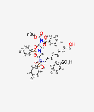 CCCCOC(=O)N(CCN(CCN(CCCCCCCCCO)S(=O)(=O)c1ccc(C)cc1)S(=O)(=O)c1ccc(C)cc1)S(=O)(=O)c1ccc(C)cc1.Cc1ccc(S(=O)(=O)O)cc1